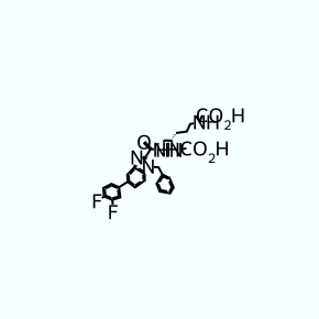 O=C(O)NCCC[C@@H](CNC(=O)c1nc2cc(-c3ccc(F)c(F)c3)ccc2n1Cc1ccccc1)NC(=O)O